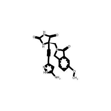 COc1ccc2c(c1)C(=O)N(C[C@@]1(C#Cc3cc(N)[nH]n3)NC(=O)NC1=O)C2